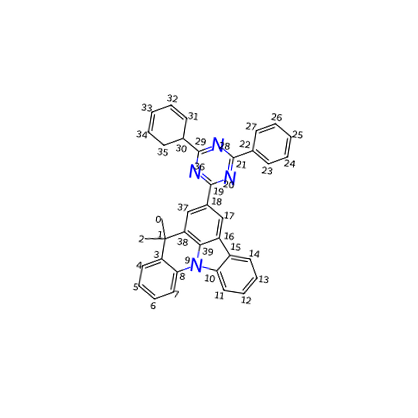 CC1(C)c2ccccc2-n2c3ccccc3c3cc(-c4nc(-c5ccccc5)nc(C5C=CC=CC5)n4)cc1c32